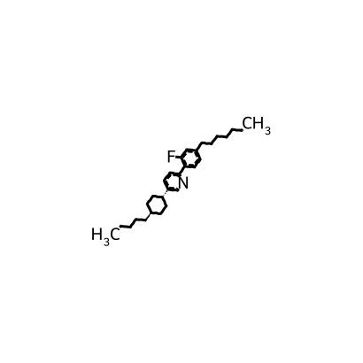 CCCCCCCc1ccc(-c2ccc([C@H]3CC[C@H](CCCCC)CC3)cn2)c(F)c1